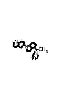 CC(c1cccc2c1ccn2-c1ccc2ncccc2c1)N1CCOCC1